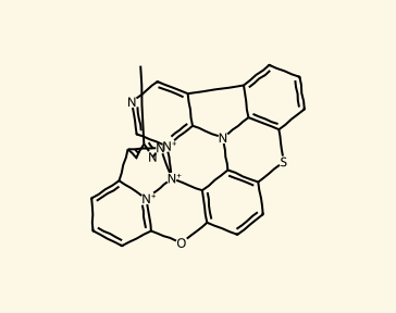 Cc1cc2n(n1)[N+]13c4c(ccc5c4-n4c6c(cccc6c6cnc[n+]1c64)S5)Oc1cccc-2[n+]13